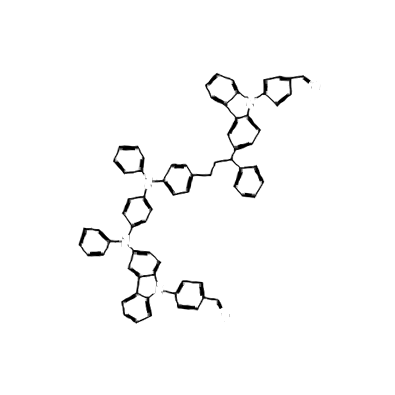 O=Cc1ccc(-n2c3ccccc3c3cc(C(CCc4ccc(N(c5ccccc5)c5ccc(N(c6ccccc6)c6ccc7c(c6)c6ccccc6n7-c6ccc(C=O)cc6)cc5)cc4)c4ccccc4)ccc32)cc1